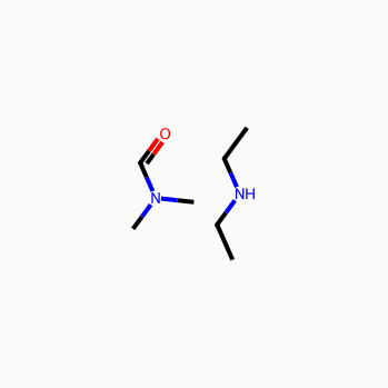 CCNCC.CN(C)C=O